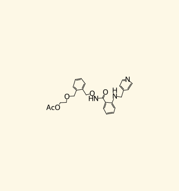 CC(=O)OCCOCc1ccccc1CONC(=O)c1ccccc1NCc1ccncc1